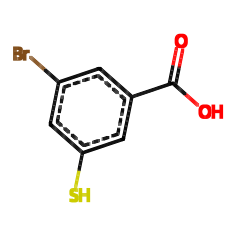 O=C(O)c1cc(S)cc(Br)c1